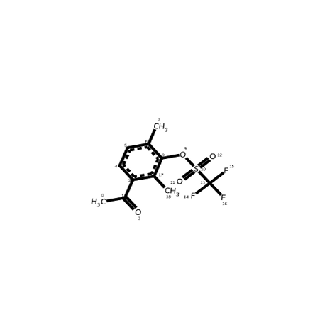 CC(=O)c1ccc(C)c(OS(=O)(=O)C(F)(F)F)c1C